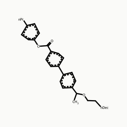 CCCCCCCCCCCCOC(C)c1ccc(-c2ccc(C(=O)Oc3ccc(CCC)cc3)cc2)cc1